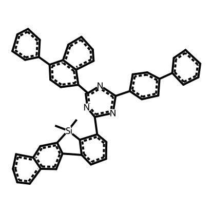 C[Si]1(C)c2cc3ccccc3cc2-c2cccc(-c3nc(-c4ccc(-c5ccccc5)cc4)nc(-c4ccc(-c5ccccc5)c5ccccc45)n3)c21